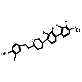 CCCc1ccc(CCC2CCC(c3ccc(-c4ccc(OCC)c(F)c4F)c(F)c3F)CO2)cc1F